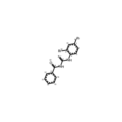 CC(C)c1ccc(NC(=S)NC(=O)c2ccccc2)c(Br)c1